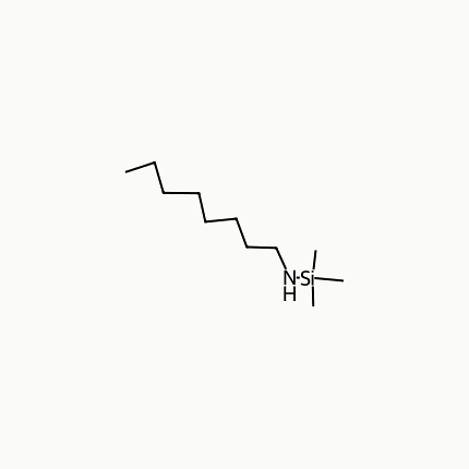 CCCCCCCCN[Si](C)(C)C